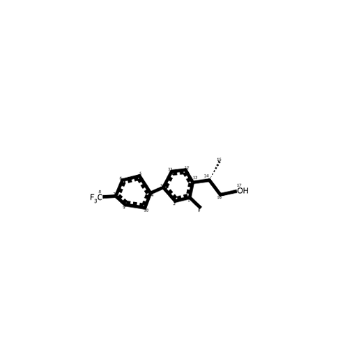 Cc1cc(-c2ccc(C(F)(F)F)cc2)ccc1[C@H](C)CO